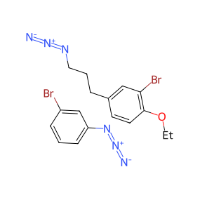 CCOc1ccc(CCCN=[N+]=[N-])cc1Br.[N-]=[N+]=Nc1cccc(Br)c1